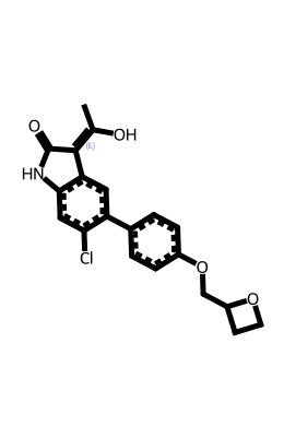 C/C(O)=C1\C(=O)Nc2cc(Cl)c(-c3ccc(OCC4CCO4)cc3)cc21